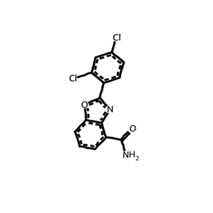 NC(=O)c1cccc2oc(-c3ccc(Cl)cc3Cl)nc12